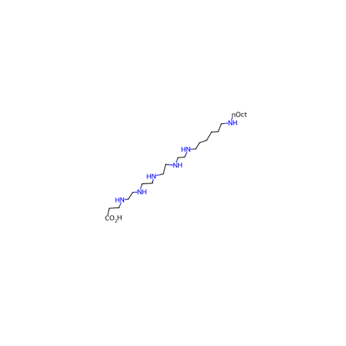 CCCCCCCCNCCCCCCNCCNCCNCCNCCNCCC(=O)O